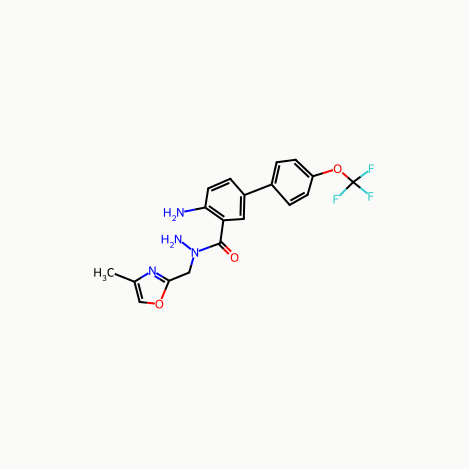 Cc1coc(CN(N)C(=O)c2cc(-c3ccc(OC(F)(F)F)cc3)ccc2N)n1